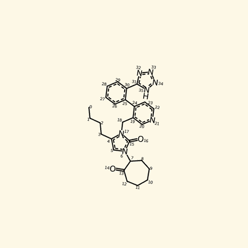 CCCCc1cn(C2CCCCCC2=O)c(=O)n1Cc1cnccc1-c1ccccc1-c1nnn[nH]1